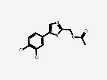 CC(=O)OCc1ncc(-c2ccc(Cl)c(Cl)c2)s1